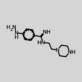 N=C(NCCN1CCNCC1)c1ccc(NN)cc1